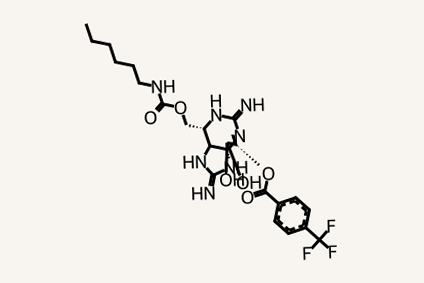 CCCCCCNC(=O)OC[C@@H]1NC(=N)N2C[C@H](OC(=O)c3ccc(C(F)(F)F)cc3)C(O)(O)[C@@]23NC(=N)NC13